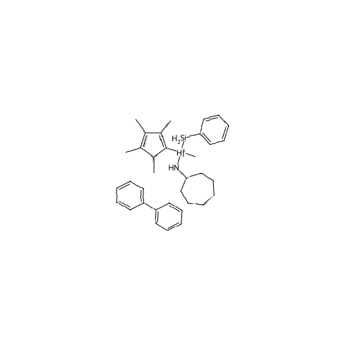 CC1=C(C)C(C)[C]([Hf]([CH3])([NH]C2CCCCCC2)[SiH2]c2ccccc2)=C1C.c1ccc(-c2ccccc2)cc1